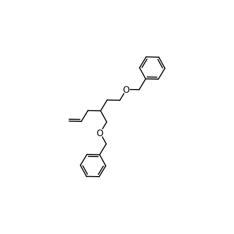 C=CCC(CCOCc1ccccc1)COCc1ccccc1